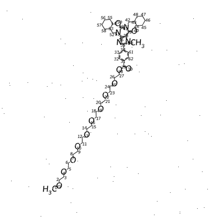 COCCOCCOCCOCCOCCOCCOCCOCCOCCOC(=O)c1ccc(-c2nc3c(c(=O)n(CC4CCCCC4)c(=O)n3CC3CCCCC3)n2C)cc1